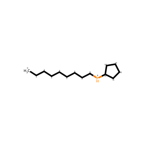 CCCCCCCCCPC1CCCC1